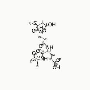 CSC(CC(=O)O)C(=O)NCCC(=O)N[C@@H](CCC(=O)O)C(=O)N[C@@H](C)C(C)=O